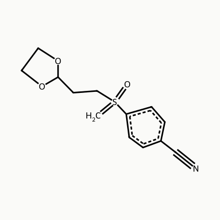 C=S(=O)(CCC1OCCO1)c1ccc(C#N)cc1